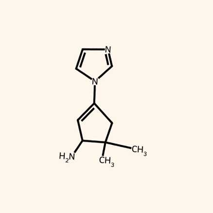 CC1(C)CC(n2ccnc2)=CC1N